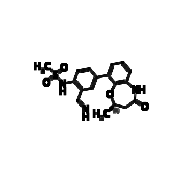 C[C@@H]1CC(=O)Nc2cccc(-c3ccc(NS(C)(=O)=O)c(C=N)c3)c2O1